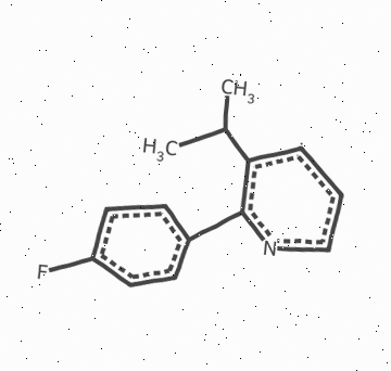 CC(C)c1[c]ccnc1-c1ccc(F)cc1